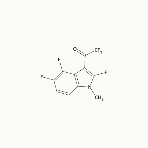 Cn1c(F)c(C(=O)C(F)(F)F)c2c(F)c(F)ccc21